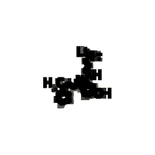 CCN(CC)CCCNc1nn(CCC(C)N2CCCCC2)c2ccc(O)cc12